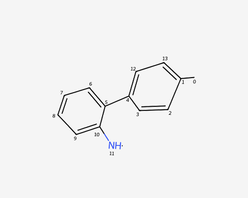 Cc1ccc(-c2ccccc2[NH])cc1